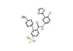 CC(C)(C)c1ccc(-c2cc(S(C)(=O)=O)ccc2C(=O)Nc2ccc(Cl)c(-c3ncco3)c2)cc1